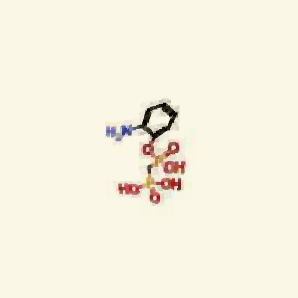 Nc1ccccc1OP(=O)(O)CP(=O)(O)O